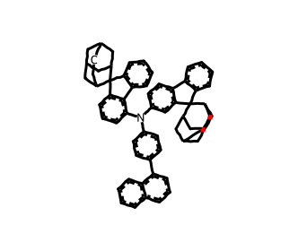 c1ccc2c(c1)-c1ccc(N(c3ccc(-c4cccc5ccccc45)cc3)c3cccc4c3-c3ccccc3C43C4CCC5CC(C4)CC3C5)cc1C21C2CCC3CC(C2)CC1C3